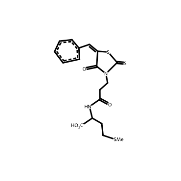 CSCCC(NC(=O)CCN1C(=O)/C(=C\c2ccccc2)SC1=S)C(=O)O